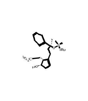 CC(C)(C)[Si](C)(C)O[C@@](C)(CCC1=CC[C@H](O)[C@@H]1CC(=O)O)C1CCCCC1